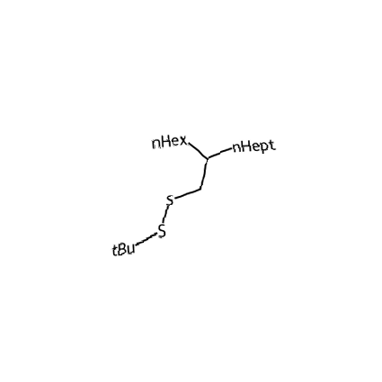 CCCCCCCC(CCCCCC)CSSC(C)(C)C